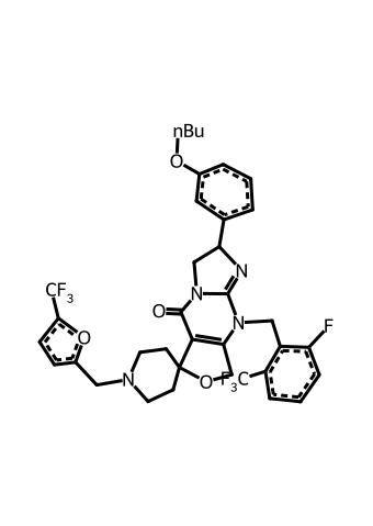 CCCCOc1cccc(C2CN3C(=O)C4=C(COC45CCN(Cc4ccc(C(F)(F)F)o4)CC5)N(Cc4c(F)cccc4C(F)(F)F)C3=N2)c1